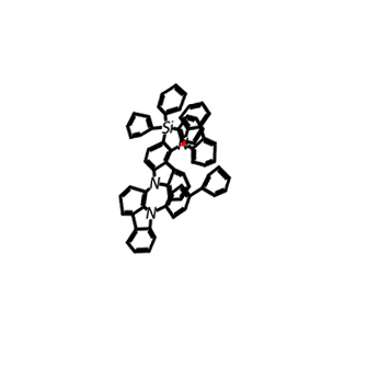 c1ccc(-c2ccc(-n3c4ccccc4c4cccc(-n5c6ccccc6c6c(-n7c8ccccc8c8ccccc87)c([Si](c7ccccc7)(c7ccccc7)c7ccccc7)ccc65)c43)cc2)cc1